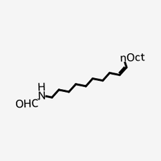 CCCCCCCC/C=C\CCCCCCCCNC=O